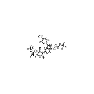 CN(Cc1cc(F)c(-c2ncc3c(n2)c(-c2ccc(Cl)cc2)nn3COCCS(C)(C)C)c(F)c1)C(=O)OC(C)(C)C